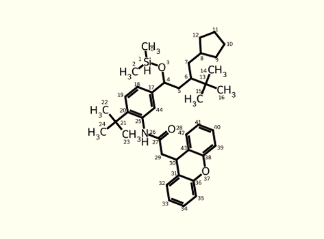 C[SiH](C)OC(CC(CC1CCCC1)C(C)(C)C)c1ccc(C(C)(C)C)c(NC(=O)CC2c3ccccc3Oc3ccccc32)c1